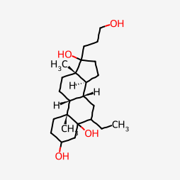 CCC1C[C@@H]2[C@@H](CC[C@@]3(C)[C@H]2CCC3(O)CCCO)[C@@]2(C)CCC(O)CC12O